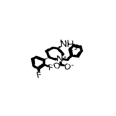 N[C@@H]1CC[C@@H](c2cccc(F)c2F)C[N+](Cc2ccccc2)(C(=O)[O-])C1